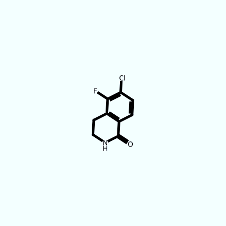 O=C1NCCc2c1ccc(Cl)c2F